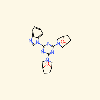 c1ccc2c(c1)ncn2-c1nc(N2CC3CCC(C2)O3)nc(N2CC3CCC(C2)O3)n1